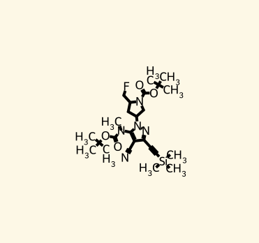 CN(C(=O)OC(C)(C)C)c1c(C#N)c(C#C[Si](C)(C)C)nn1C1CC(CF)N(C(=O)OC(C)(C)C)C1